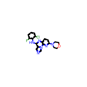 Fc1cccc(Cl)c1Nc1nc2ccc(N3CCOCC3)nc2n2cncc12